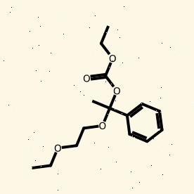 CCOCCOC(C)(OC(=O)OCC)c1ccccc1